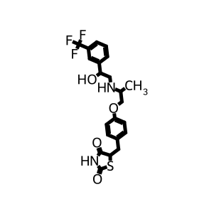 CC(COc1ccc(CC2SC(=O)NC2=O)cc1)NCC(O)c1cccc(C(F)(F)F)c1